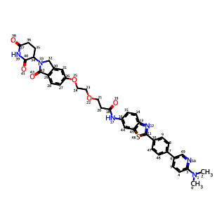 CN(C)c1ccc(-c2ccc(-c3nc4ccc(NC(=O)CCOCCOc5ccc6c(c5)CN(C5CCC(=O)NC5=O)C6=O)cc4s3)cc2)cn1